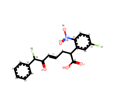 O=C(/C=C/CC(C(=O)O)c1cc(F)ccc1[N+](=O)[O-])C(F)c1ccccc1